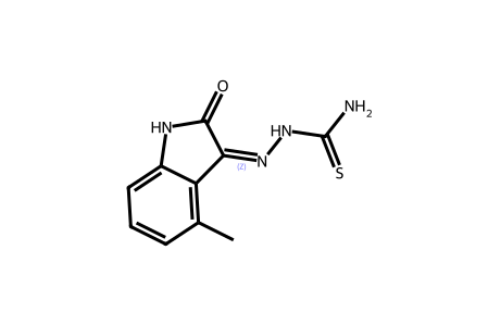 Cc1cccc2c1/C(=N/NC(N)=S)C(=O)N2